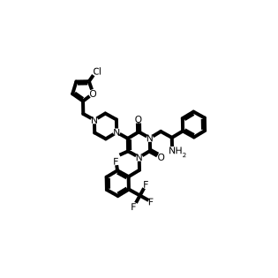 Cc1c(N2CCN(Cc3ccc(Cl)o3)CC2)c(=O)n(CC(N)c2ccccc2)c(=O)n1Cc1c(F)cccc1C(F)(F)F